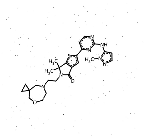 Cn1nccc1Nc1nccc(-c2cc3c(s2)C(C)(C)N(CCN2CCOCC4(CC4)C2)C3=O)n1